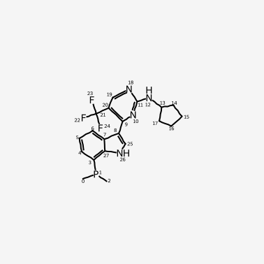 CP(C)c1cccc2c(-c3nc(NC4CCCC4)ncc3C(F)(F)F)c[nH]c12